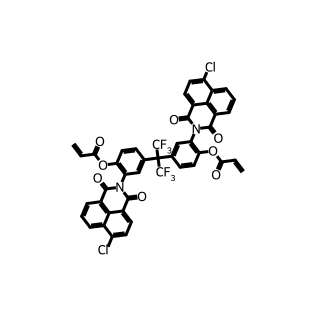 C=CC(=O)Oc1ccc(C(c2ccc(OC(=O)C=C)c(N3C(=O)c4cccc5c(Cl)ccc(c45)C3=O)c2)(C(F)(F)F)C(F)(F)F)cc1N1C(=O)c2cccc3c(Cl)ccc(c23)C1=O